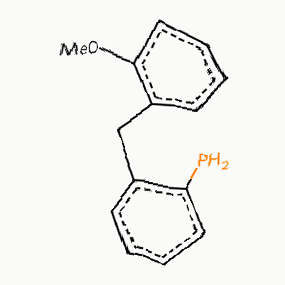 COc1ccccc1Cc1ccccc1P